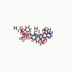 COc1ccccc1N(C(=O)C1CC1)S(=O)(=O)Cc1ccc(N2Cc3c(c(OC)c4cccnc4c3OC)C2=O)c(C)c1